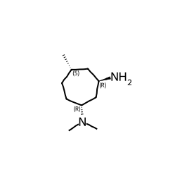 C[C@H]1CC[C@@H](N(C)C)C[C@H](N)C1